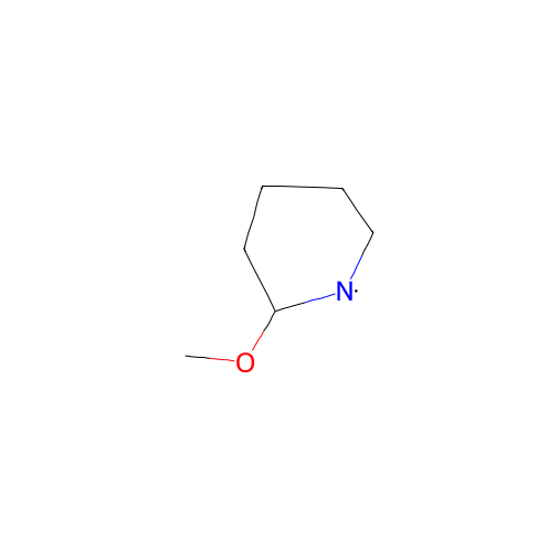 COC1CCCC[N]1